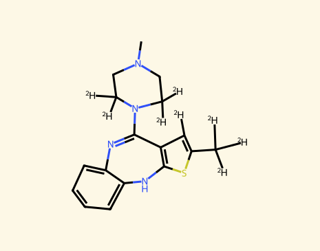 [2H]c1c(C([2H])([2H])[2H])sc2c1C(N1C([2H])([2H])CN(C)CC1([2H])[2H])=Nc1ccccc1N2